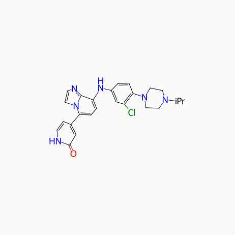 CC(C)N1CCN(c2ccc(Nc3ccc(-c4cc[nH]c(=O)c4)n4ccnc34)cc2Cl)CC1